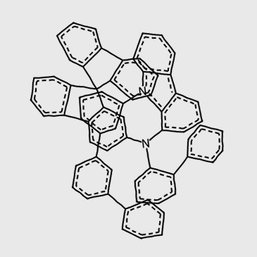 c1ccc(-c2cccc(-c3cccc(-n4c5ccccc5c5cccc(N(c6ccc7c(c6)C6(c8ccccc8-c8ccccc86)c6ccccc6-7)c6ccccc6-c6ccccc6)c54)c3)c2)cc1